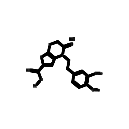 CCOC(=N)c1cc2c(s1)SCC(=O)N2CCc1ccc(OC)c(OC)c1.Cl